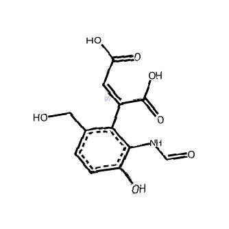 O=CNc1c(O)ccc(CO)c1/C(=C/C(=O)O)C(=O)O